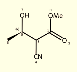 COC(=O)C(C#N)[C@@H](C)O